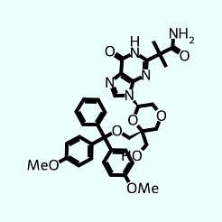 COc1ccc(C(OC[C@]2(CO)COC[C@H](n3cnc4c(=O)[nH]c(C(C)(C)C(N)=O)nc43)O2)(c2ccccc2)c2ccc(OC)cc2)cc1